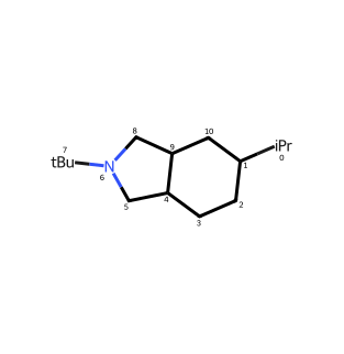 CC(C)C1CCC2CN(C(C)(C)C)CC2C1